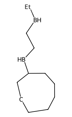 CCBCCBC1CCCCCCC1